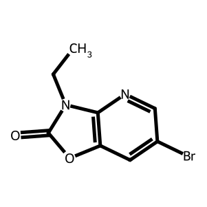 CCn1c(=O)oc2cc(Br)cnc21